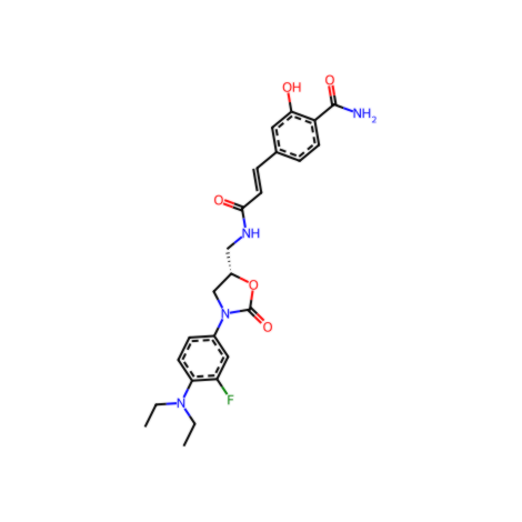 CCN(CC)c1ccc(N2C[C@H](CNC(=O)/C=C/c3ccc(C(N)=O)c(O)c3)OC2=O)cc1F